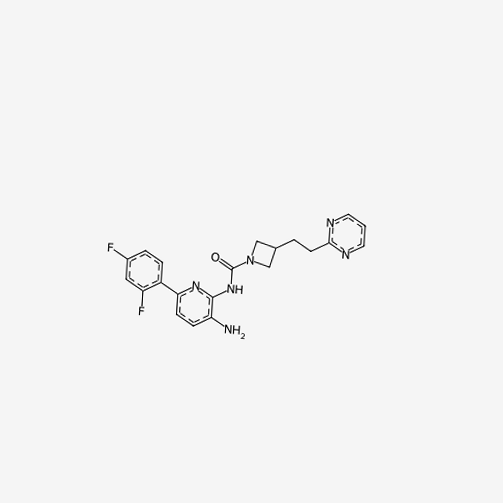 Nc1ccc(-c2ccc(F)cc2F)nc1NC(=O)N1CC(CCc2ncccn2)C1